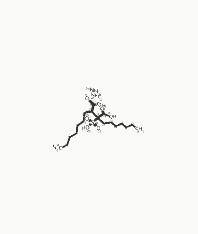 CCCCCCCC(C(=O)O)C(CCCCCCC)(C(=O)O)S(=O)(=O)O.N.N